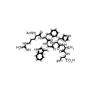 CC(=O)N[C@@H](CCCNC(=N)N)C(=O)N[C@@H](Cc1ccccc1)C(=O)N[C@@H](Cc1c[nH]c2ccccc12)C(=O)N[C@@H](Cc1c[nH]cn1)C(=O)N[C@@H](C)C(=O)N[C@@H](CC(C)C)C(=O)O